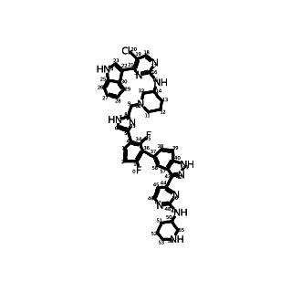 Fc1ccc(-c2c[nH]c(CN3CCCC(Nc4ncc(Cl)c(-c5c[nH]c6ccccc56)n4)C3)n2)c(F)c1-c1ccc2[nH]nc(-c3ccnc(NC4CCCNC4)n3)c2c1